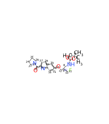 CC(C)(C)OC(=O)NC/C(=C\F)COc1ccc2nc(C(=O)N3CCCC3)ccc2c1